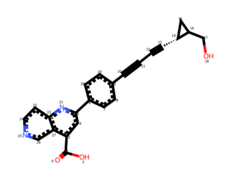 O=C(O)c1cc(-c2ccc(C#CC#C[C@@H]3CC3CO)cc2)nc2ccncc12